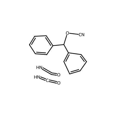 N#COC(c1ccccc1)c1ccccc1.N=C=O.N=C=O